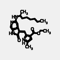 CCCCCC[C@H](C)Nc1cc2c(cn1)NC(=O)/C2=C\c1[nH]c(C)cc1C(=O)OCC